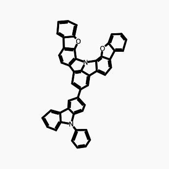 c1ccc(-n2c3ccccc3c3cc(-c4cc5c6ccc7c8ccccc8oc7c6n6c5c(c4)c4ccc5c7ccccc7oc5c46)ccc32)cc1